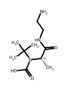 C[C@@H](C(=O)NCCN)N(C(=O)O)C(C)(C)C